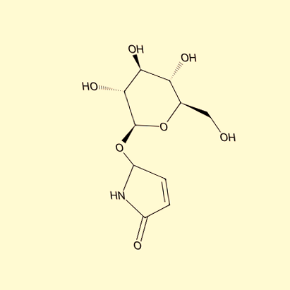 O=C1C=CC(O[C@@H]2O[C@H](CO)[C@@H](O)[C@H](O)[C@H]2O)N1